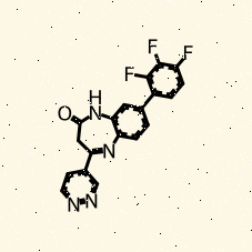 O=C1CC(c2ccnnc2)=Nc2ccc(-c3ccc(F)c(F)c3F)cc2N1